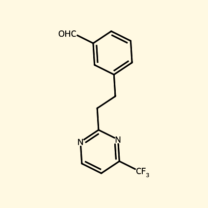 O=Cc1cccc(CCc2nccc(C(F)(F)F)n2)c1